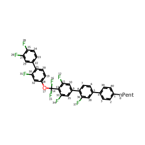 CCCCCc1ccc(-c2ccc(-c3cc(F)c(C(F)(F)Oc4ccc(-c5ccc(F)c(F)c5)c(F)c4)c(F)c3)c(F)c2)cc1